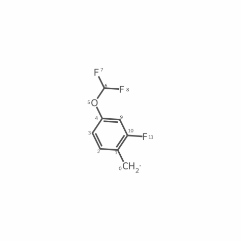 [CH2]c1ccc(OC(F)F)cc1F